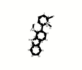 COc1c(-c2cccc(C)[n+]2C)ccc2c1sc1ccccc12